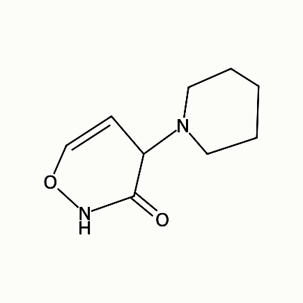 O=C1NOC=CC1N1CCCCC1